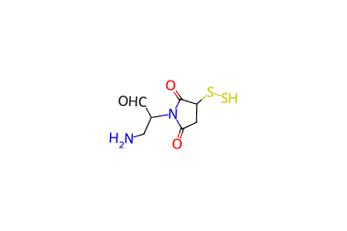 NCC(C=O)N1C(=O)CC(SS)C1=O